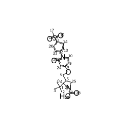 CC(C)(C)C1C(COc2ccn(-c3ccc(S(C)(=O)=O)cc3)c(=O)c2)CN1C(=O)O